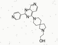 OCCN1CCC2(CCN(c3nc(-c4ccncc4)nc4cnccc34)CC2)C1